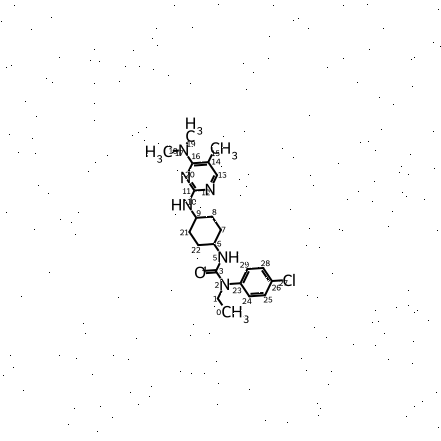 CCN(C(=O)NC1CCC(Nc2ncc(C)c(N(C)C)n2)CC1)c1ccc(Cl)cc1